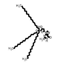 CCCCCCCCCCCCCCCCCCOC(CCCCCCCCCCCCCCCCCC)(CCCCCCCCCCCCCCCCCC)[C@H]1O[C@@H](n2cnc3c(=O)[nH]c(N)nc32)C[C@@H]1O